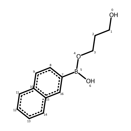 OCCCOB(O)c1ccc2ccccc2c1